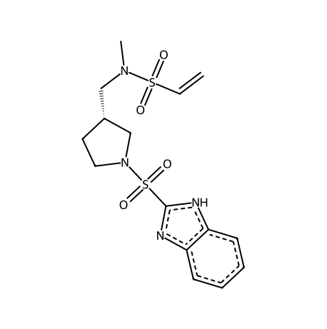 C=CS(=O)(=O)N(C)C[C@H]1CCN(S(=O)(=O)c2nc3ccccc3[nH]2)C1